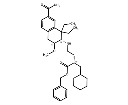 CCC1(CC)c2cc(C(N)=O)ccc2C[C@H](OC)[C@H]1NCC[C@H](CC1CCCCC1)C(=O)OCc1ccccc1